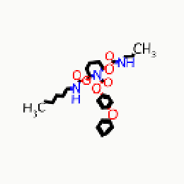 CCCCCCNC(=O)OC1CCCC(OC(=O)NCCC)N1C(=O)Oc1ccc(Oc2ccccc2)cc1